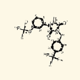 O=c1[nH]n(-c2cccc(OC(F)(F)F)c2)c(=O)n1Cc1ccc(C(F)(F)F)cc1